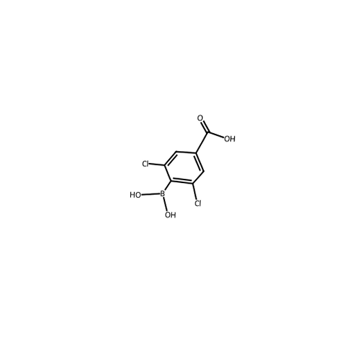 O=C(O)c1cc(Cl)c(B(O)O)c(Cl)c1